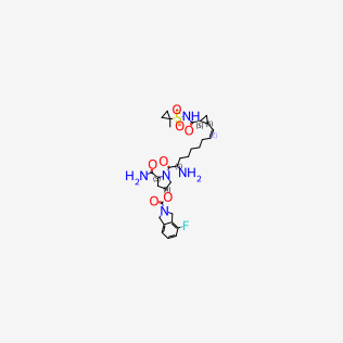 CC1(S(=O)(=O)NC(=O)[C@H]2C[C@H]2/C=C\CCCCC[C@H](N)C(=O)N2C[C@H](OC(=O)N3Cc4cccc(F)c4C3)C[C@H]2C(N)=O)CC1